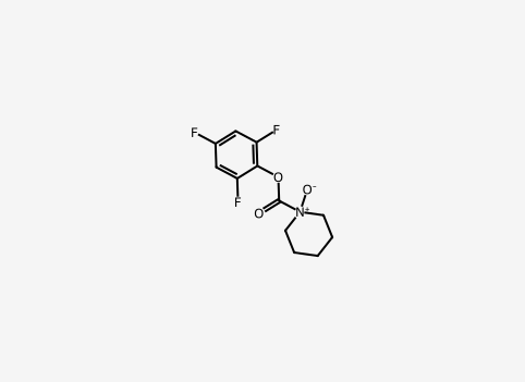 O=C(Oc1c(F)cc(F)cc1F)[N+]1([O-])CCCCC1